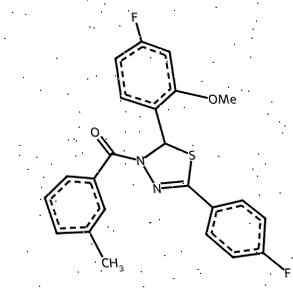 COc1cc(F)ccc1C1SC(c2ccc(F)cc2)=NN1C(=O)c1cccc(C)c1